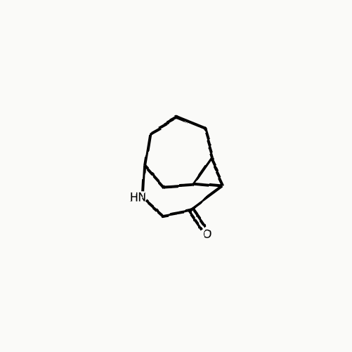 O=C1CNC2CCCC3C(C2)C13